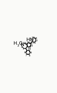 CN1CCC(c2ccccc2)c2ccc(C3CCCCN3)cc2C1